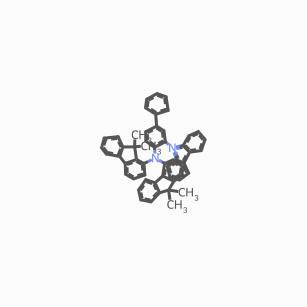 CC1(C)c2ccccc2-c2c(N(c3ccc(-c4ccccc4)cc3-n3c4ccccc4c4ccccc43)c3cccc4c3C(C)(C)c3ccccc3-4)cccc21